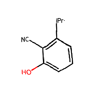 C[C](C)c1cccc(O)c1C#N